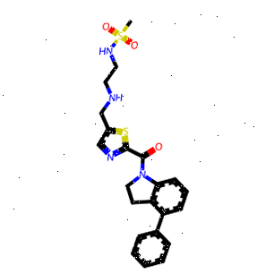 CS(=O)(=O)NCCNCc1cnc(C(=O)N2CCc3c(-c4ccccc4)cccc32)s1